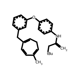 C=C(CC(C)(C)C)Nc1ccc(Oc2cccc(CC3=CCC=C(C)C=C3)c2)cc1